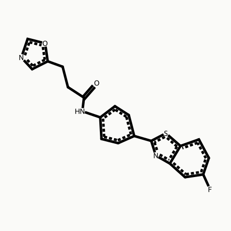 O=C(CCc1cnco1)Nc1ccc(-c2nc3cc(F)ccc3s2)cc1